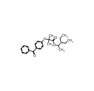 CCN(CC)C(C)OC(=O)C(C)(C)Oc1ccc(C(=O)c2ccccc2)cc1